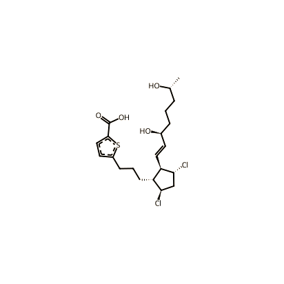 C[C@@H](O)CCC[C@H](O)/C=C/[C@@H]1[C@@H](CCCc2ccc(C(=O)O)s2)[C@H](Cl)C[C@H]1Cl